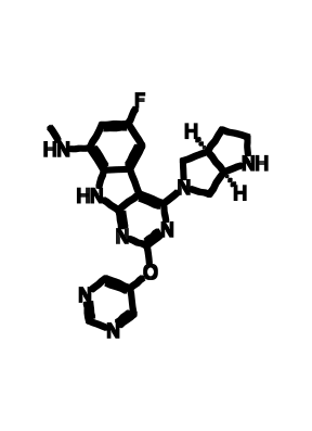 CNc1cc(F)cc2c1[nH]c1nc(Oc3cncnc3)nc(N3C[C@H]4CCN[C@H]4C3)c12